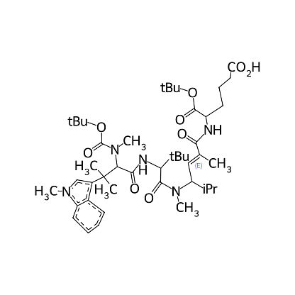 C/C(=C\C(C(C)C)N(C)C(=O)C(NC(=O)C(N(C)C(=O)OC(C)(C)C)C(C)(C)c1cn(C)c2ccccc12)C(C)(C)C)C(=O)NC(CCCC(=O)O)C(=O)OC(C)(C)C